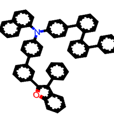 c1ccc(-c2ccccc2-c2ccccc2-c2ccc(N(c3ccc(-c4cccc(-c5oc6ccccc6c5-c5ccccc5)c4)cc3)c3cccc4ccccc34)cc2)cc1